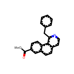 COC(=O)c1ccc2c(ccc3ccnc(Cc4ccccc4)c32)c1